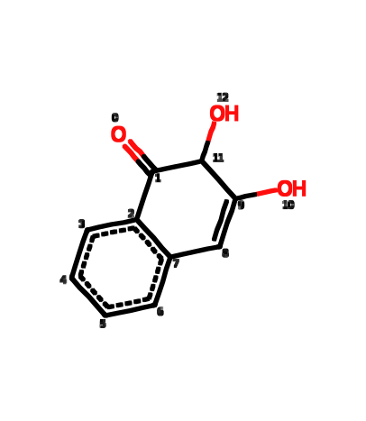 O=C1c2ccccc2C=C(O)C1O